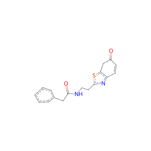 O=C1C=Cc2nc(CCNC(=O)Cc3ccccc3)sc2C1